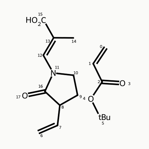 C=CC(=O)OC(C)(C)C.C=CC1CCN(C=C(C)C(=O)O)C1=O